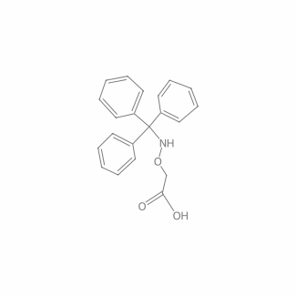 O=C(O)CONC(c1ccccc1)(c1ccccc1)c1ccccc1